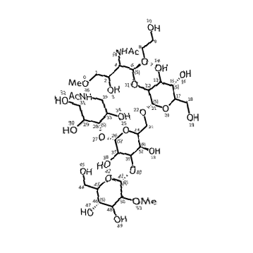 COCC(O)C(NC(C)=O)[C@@H](OCCO)OC1C(O)[C@H](O)C(CO)O[C@@H]1OCC1O[C@@H](O[C@H](C(O)CO)C(O)CNC(C)=O)C(O)C(O[C@H]2OC(CO)[C@@H](O)C(O)C2OC)[C@@H]1O